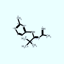 CC(=N)/N=C(\Nc1ccnc(C)n1)C(C)(C)C